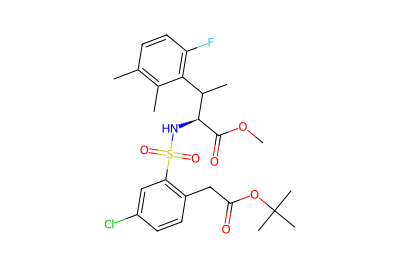 COC(=O)[C@@H](NS(=O)(=O)c1cc(Cl)ccc1CC(=O)OC(C)(C)C)C(C)c1c(F)ccc(C)c1C